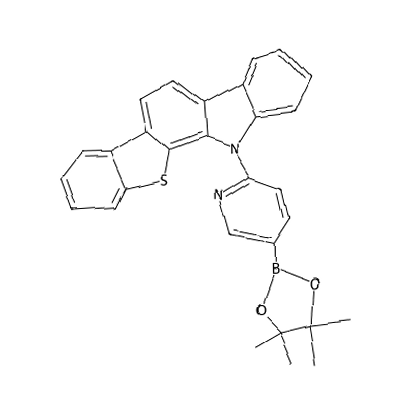 CC1(C)OB(c2ccc(-n3c4ccccc4c4ccc5c6ccccc6sc5c43)nc2)OC1(C)C